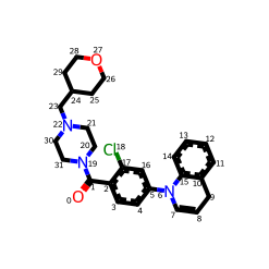 O=C(c1ccc(N2C=CCc3ccccc32)cc1Cl)N1CCN(CC2CCOCC2)CC1